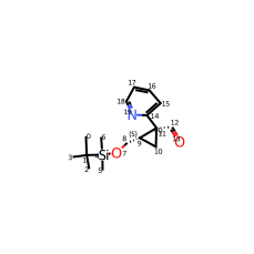 CC(C)(C)[Si](C)(C)OC[C@H]1C[C@]1(C=O)c1ccccn1